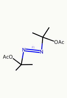 CC(=O)OC(C)(C)/N=N/C(C)(C)OC(C)=O